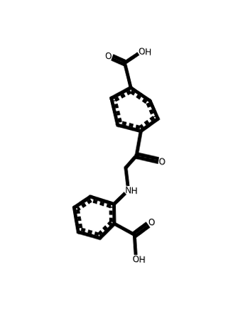 O=C(O)c1ccc(C(=O)CNc2ccccc2C(=O)O)cc1